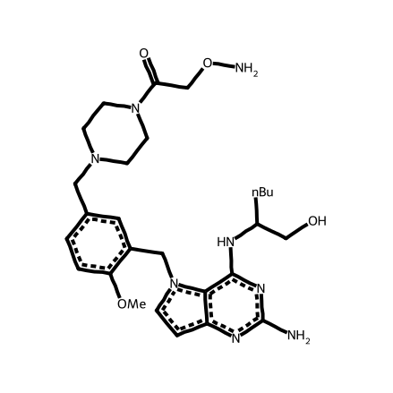 CCCCC(CO)Nc1nc(N)nc2ccn(Cc3cc(CN4CCN(C(=O)CON)CC4)ccc3OC)c12